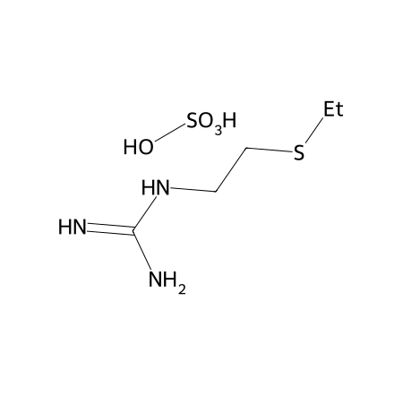 CCSCCNC(=N)N.O=S(=O)(O)O